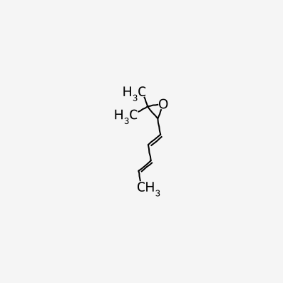 CC=CC=CC1OC1(C)C